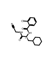 N#CCNC(=O)[C@H](CC1CCCCC1)NC(=O)c1ccccc1Cl